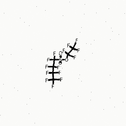 O=S(=O)(OC(F)(F)C(F)(F)F)C(F)(F)C(F)(F)C(F)(F)C(F)(F)F